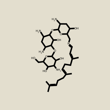 CC(C)=CCC/C(C)=C/CC/C(C)=C/C=N/CC1OC(OC2C(N)CC(N)C(OC3OC(CO)C(O)C(N)C3O)C2O)C(N)CC1O